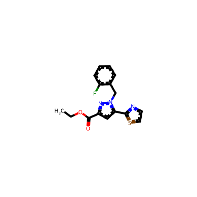 CCOC(=O)c1cc(-c2nccs2)n(Cc2ccccc2F)n1